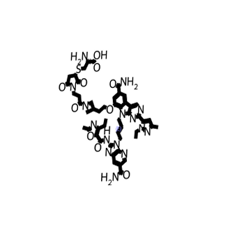 CCc1nc(C)oc1C(=O)Nc1nc2cc(C(N)=O)cnc2n1C/C=C/Cn1c2nc(-c3cc(C)nn3CC)ncc2c2cc(C(N)=O)cc(OCCC3CN(C(=O)CCN4C(=O)CC(SC[C@H](N)C(=O)O)C4=O)C3)c21